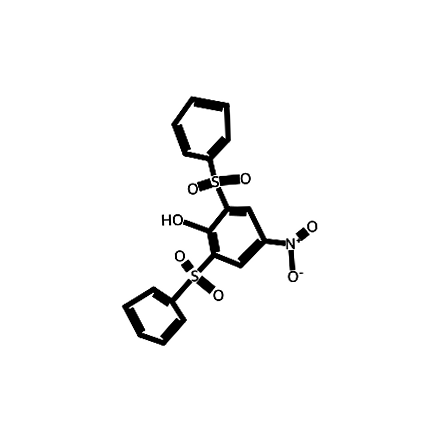 O=[N+]([O-])c1cc(S(=O)(=O)c2ccccc2)c(O)c(S(=O)(=O)c2ccccc2)c1